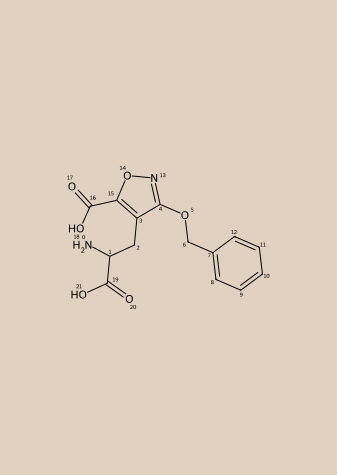 NC(Cc1c(OCc2ccccc2)noc1C(=O)O)C(=O)O